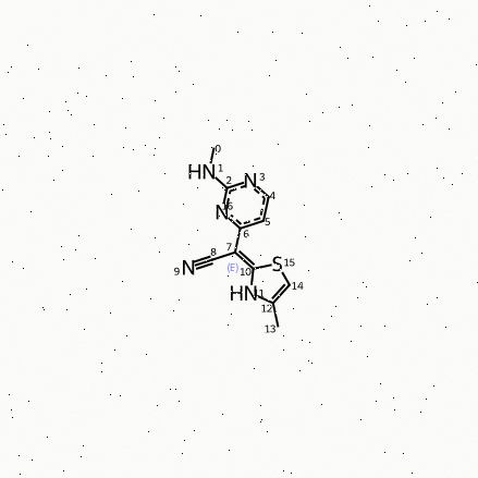 CNc1nccc(/C(C#N)=C2/NC(C)=CS2)n1